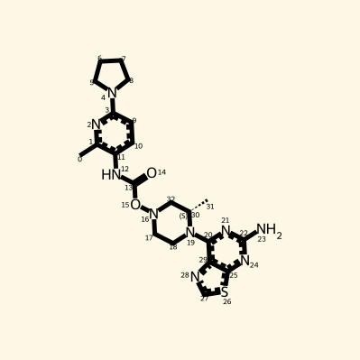 Cc1nc(N2CCCC2)ccc1NC(=O)ON1CCN(c2nc(N)nc3scnc23)[C@@H](C)C1